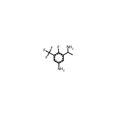 CC(N)c1cc(N)cc(C(F)(F)F)c1F